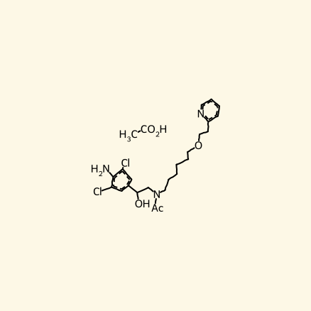 CC(=O)N(CCCCCCOCCc1ccccn1)CC(O)c1cc(Cl)c(N)c(Cl)c1.CC(=O)O